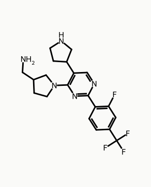 NCC1CCN(c2nc(-c3ccc(C(F)(F)F)cc3F)ncc2C2CCNC2)C1